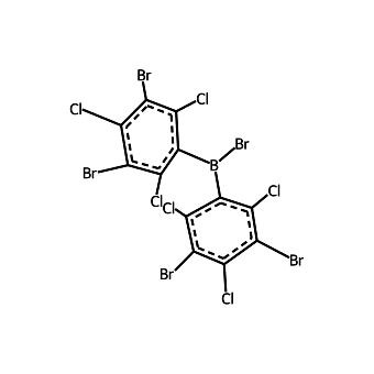 Clc1c(Br)c(Cl)c(B(Br)c2c(Cl)c(Br)c(Cl)c(Br)c2Cl)c(Cl)c1Br